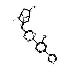 Oc1cc(-n2ccnc2)ccc1-c1ncc(/C=C2\CC3NC(C[C@H]3O)[C@H]2F)nn1